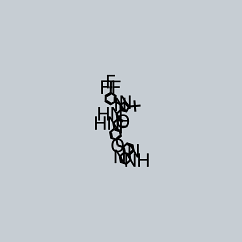 CC(C)(C)c1cc(NC(=O)Nc2ccc(Oc3ccnc4c3N=CCN4)cc2F)n(-c2cccc(C(F)(F)F)c2)n1